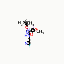 COc1ccc(-c2c(C(=O)NCCCc3cncc(F)c3)ncn2COCC[Si](C)(C)C)cc1I